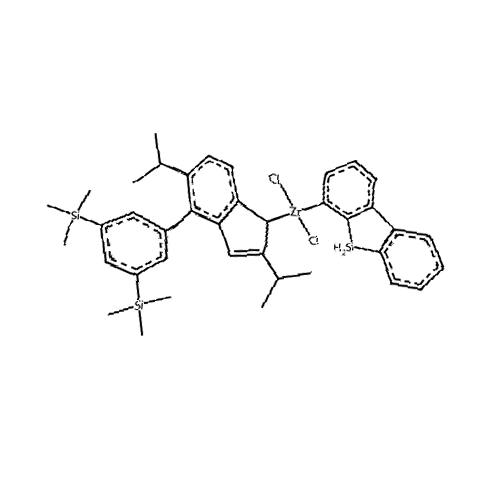 CC(C)C1=Cc2c(ccc(C(C)C)c2-c2cc([Si](C)(C)C)cc([Si](C)(C)C)c2)[CH]1[Zr]([Cl])([Cl])[c]1cccc2c1[SiH2]c1ccccc1-2